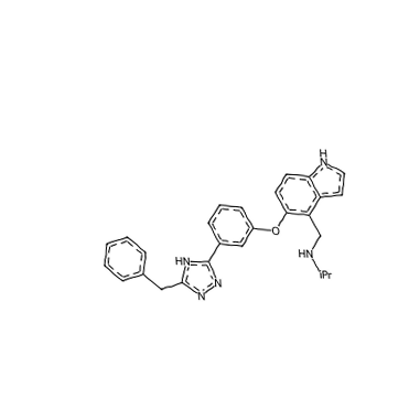 CC(C)NCc1c(Oc2cccc(-c3nnc(Cc4ccccc4)[nH]3)c2)ccc2[nH]ccc12